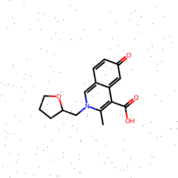 Cc1c(C(=O)O)c2cc(=O)ccc-2cn1CC1CCCO1